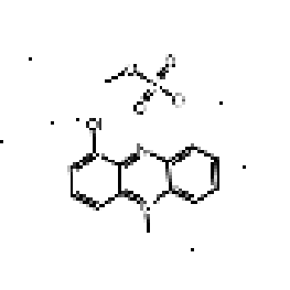 COS(=O)(=O)[O-].C[n+]1c2ccccc2nc2c(O)cccc21